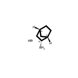 Br.N[C@@H]1C[C@@H]2CC[C@H]1C2